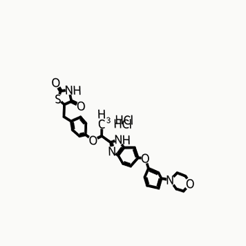 CC(Oc1ccc(CC2SC(=O)NC2=O)cc1)c1nc2ccc(Oc3cccc(N4CCOCC4)c3)cc2[nH]1.Cl.Cl